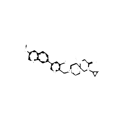 COc1cnc2cc(-c3cnc(CN4CC[C@@]5(CN(C6CC6)C(=O)CO5)[C@@H](F)C4)c(F)c3)ccc2c1